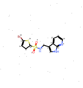 O=S(=O)(NCc1c[nH]c2ncccc12)C1CC=C(Br)S1